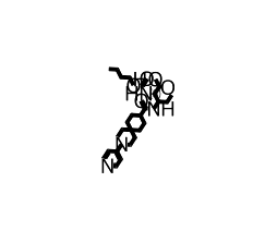 CCCCOC(=O)N[C@H](C(=O)O)C(CC)NC(=O)C1CCC2(CC1)CCN(c1ccncc1)CC2